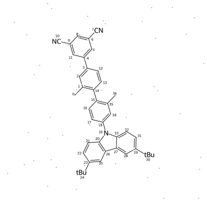 Cc1cc(-c2cc(C#N)cc(C#N)c2)ccc1-c1ccc(-n2c3ccc(C(C)(C)C)cc3c3cc(C(C)(C)C)ccc32)cc1C